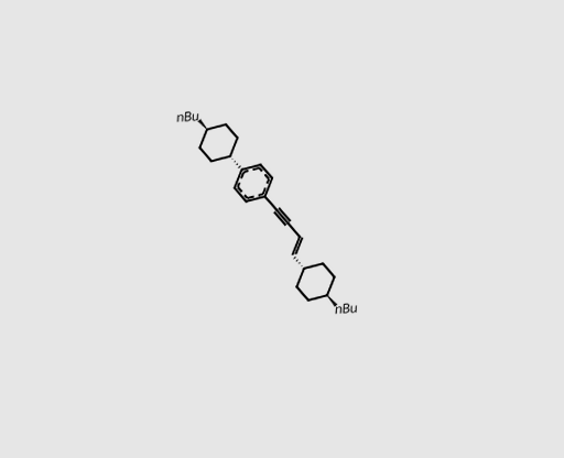 CCCC[C@H]1CC[C@H](/C=C/C#Cc2ccc([C@H]3CC[C@H](CCCC)CC3)cc2)CC1